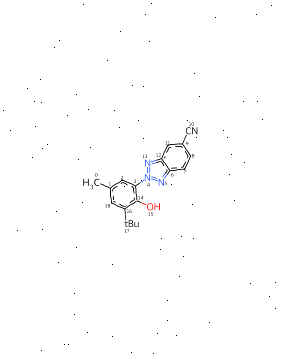 Cc1cc(-n2nc3ccc(C#N)cc3n2)c(O)c(C(C)(C)C)c1